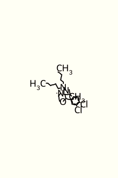 CCCCCN(CCCCC)N1CC(C)C12[N]CCOC2c1ccc(Cl)c(Cl)c1